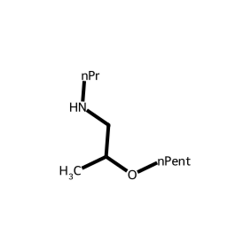 CCCCCOC(C)CNCCC